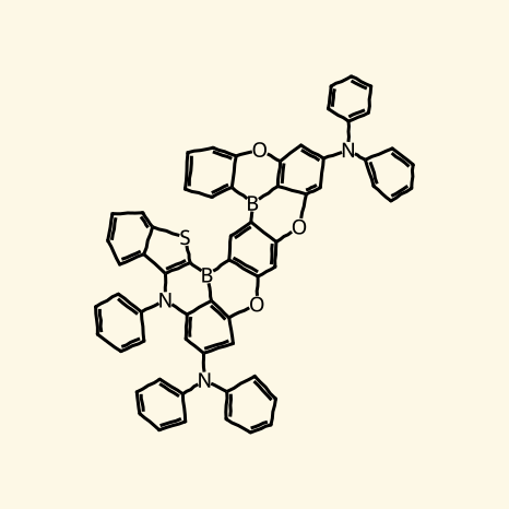 c1ccc(N(c2ccccc2)c2cc3c4c(c2)Oc2cc5c(cc2B4c2ccccc2O3)B2c3sc4ccccc4c3N(c3ccccc3)c3cc(N(c4ccccc4)c4ccccc4)cc(c32)O5)cc1